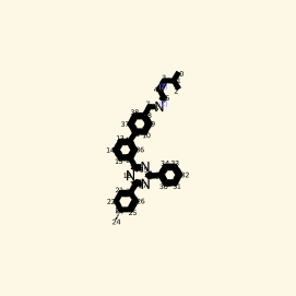 CC(C)/C=C\C=N/Cc1ccc(-c2cccc(-c3nc(C4=CC[C@@H](C)C=C4)nc(-c4ccccc4)n3)c2)cc1